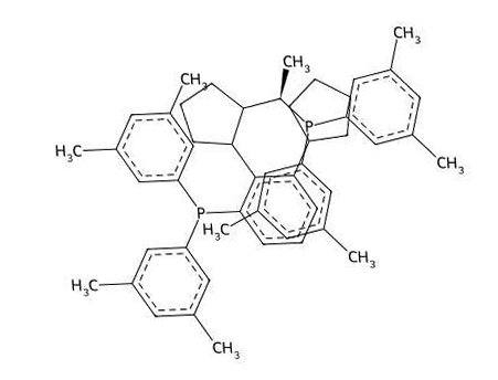 Cc1cc(C)cc(P(c2cc(C)cc(C)c2)c2cccc(C3CCCC3)c2C2CCCC2[C@@H](C)P(c2cc(C)cc(C)c2)c2cc(C)cc(C)c2)c1